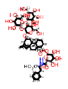 C=C1CC23CC[C@@H]4[C@H](C(=O)OC5O[C@H](C(O)N[C@H](Cc6ccccc6)C(=O)O)[C@@H](O)[C@H](O)[C@H]5O)CCC[C@@]4(C)[C@@H]2CC(O[C@@H]2O[C@H](CO)[C@@H](O)C(O[C@@H]4O[C@H](CO)[C@@H](O)[C@H](O)[C@H]4O)[C@H]2O[C@@H]2O[C@H](CO)[C@@H](O)[C@H](O)[C@H]2O)C1C3